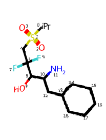 CC(C)S(=O)(=O)CC(F)(F)C(O)C(N)CC1CCCCC1